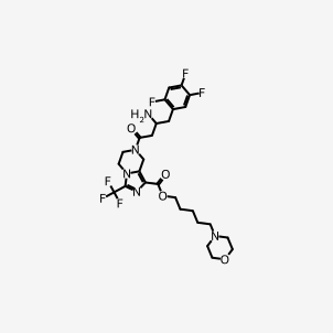 NC(CC(=O)N1CCn2c(C(F)(F)F)nc(C(=O)OCCCCCN3CCOCC3)c2C1)Cc1cc(F)c(F)cc1F